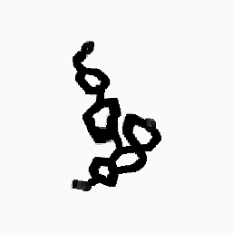 O=CC1CCN(c2ccc([C@@H]3c4ccc(O)cc4CCC34CCOCC4)cc2)CC1